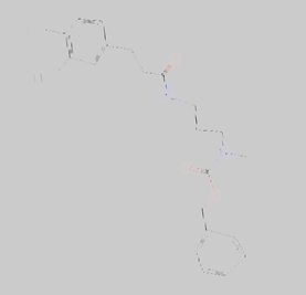 Cc1ccc(CCC(=O)NCCCN(C)C(=O)OCc2ccccc2)cc1C